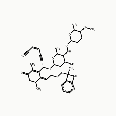 C#C/C=C\C#C[C@H](OC1CC(O)[C@H](NOC2CC[C@H](SC)C(C)O2)C(C)O1)C1=C(N)C(=O)CC(C)/C1=C/CSSC1(C)Nc2ncccc21